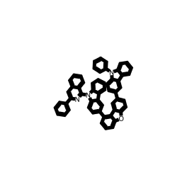 c1ccc(-c2cc3ccccc3c(-n3c4ccccc4c4cc(-c5cccc6oc7ccc(-c8ccc9c(c8)c8ccccc8n9-c8ccccc8)cc7c56)ccc43)n2)cc1